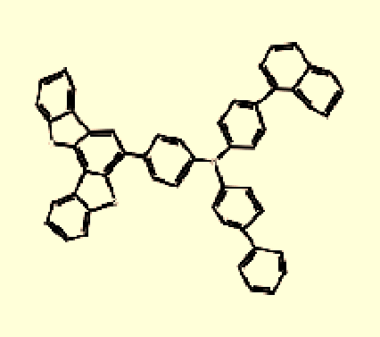 c1ccc(-c2ccc(N(c3ccc(-c4cccc5ccccc45)cc3)c3ccc(-c4cc5c6ccccc6oc5c5c4sc4ccccc45)cc3)cc2)cc1